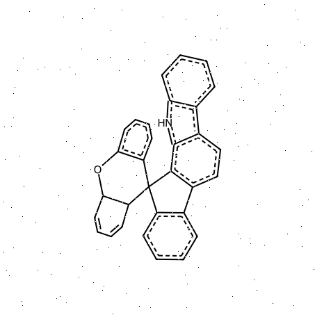 C1=CC2Oc3ccccc3C3(c4ccccc4-c4ccc5c([nH]c6ccccc65)c43)C2C=C1